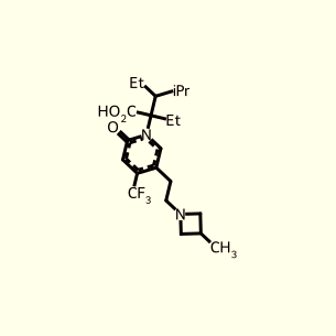 CCC(C(C)C)C(CC)(C(=O)O)n1cc(CCN2CC(C)C2)c(C(F)(F)F)cc1=O